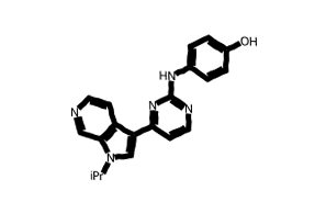 CC(C)n1cc(-c2ccnc(Nc3ccc(O)cc3)n2)c2ccncc21